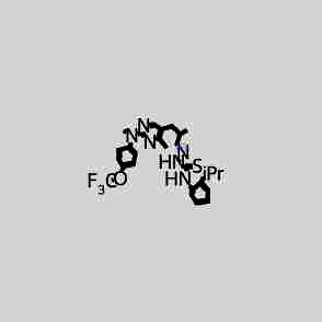 Cc1nc(N(C)c2ccc(OC(F)(F)F)cc2)ncc1CC(C)/C=N/NC(=S)Nc1ccccc1C(C)C